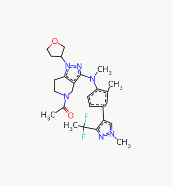 CC(=O)N1CCc2c(c(N(C)c3ccc(-c4cn(C)nc4C(C)(F)F)cc3C)nn2C2CCOC2)C1